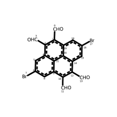 O=Cc1c(C=O)c2cc(Br)cc3c(C=O)c(C=O)c4cc(Br)cc1c4c23